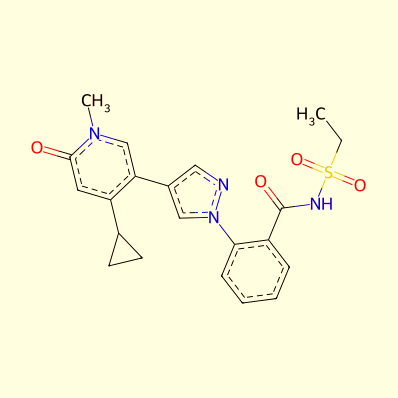 CCS(=O)(=O)NC(=O)c1ccccc1-n1cc(-c2cn(C)c(=O)cc2C2CC2)cn1